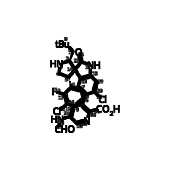 CC(C)(C)C[C@@H]1NC[C@@H](c2cccc(Cl)c2F)C12C(=O)Nc1cc(Cl)c(-c3cc(NC=O)cnc3C(=O)O)cc12